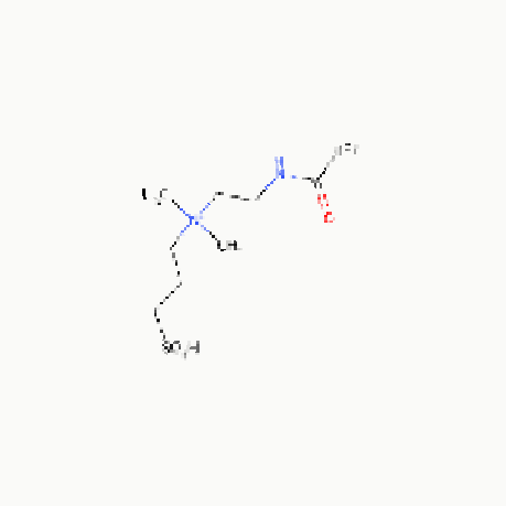 CCCC(=O)NCC[N+](C)(C)CCCS(=O)(=O)O